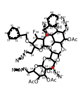 CC(=O)OCC1OC(OC2C(OC(C)=O)C(N=[N+]=[N-])C(O)C(N=[N+]=[N-])C2OC2OC(CN=[N+]=[N-])C(OCc3ccccc3)C(F)C2OCc2ccccc2)C(OC(C)=O)C1OC1OC(CN=[N+]=[N-])C(OC(C)=O)C(OC(C)=O)C1N=[N+]=[N-]